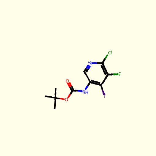 CC(C)(C)OC(=O)Nc1cnc(Cl)c(F)c1I